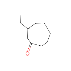 CC[C]1CCCCCC(=O)C1